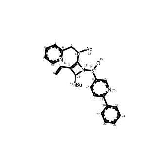 C=CC1=C(N(Cc2ccccn2)C(C)=O)N([S+]([O-])c2ccc(-c3ccccc3)nc2)[C@H]1CCCC